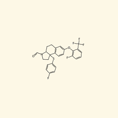 O=CN1CCC2(Sc3ccc(F)cc3)c3ccc(Oc4c(F)cccc4C(F)(F)F)cc3CCC12